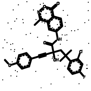 COc1ccc(C#CC(O)(CC(C)(C)c2ccc(F)cc2Cl)C(=O)Nc2ccc3c(=O)onc(C)c3c2)cc1